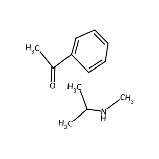 CC(=O)c1ccccc1.CNC(C)C